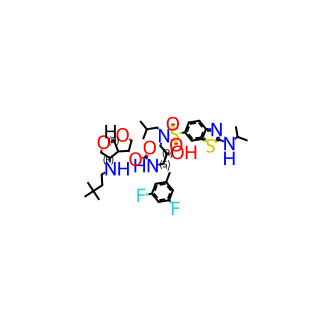 CC(C)CN(C[C@@H](O)[C@H](Cc1cc(F)cc(F)c1)NC(=O)OC1CO[C@H]2OC[C@H](NCCC(C)(C)C)C12)S(=O)(=O)c1ccc2nc(NC(C)C)sc2c1